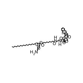 CCCCCCCCCCCCCCCCCOCC(COOCCN)OC(=O)CCCCCCCC(=O)NCCNC(=O)O[C@]1(CC)C(=O)OCc2c1cc1n(c2=O)Cc2cc3ccccc3nc2-1